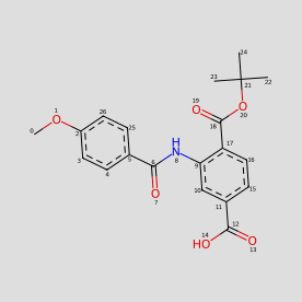 COc1ccc(C(=O)Nc2cc(C(=O)O)ccc2C(=O)OC(C)(C)C)cc1